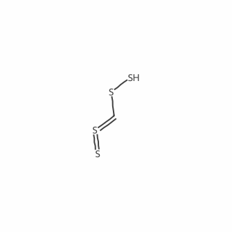 S=S=CSS